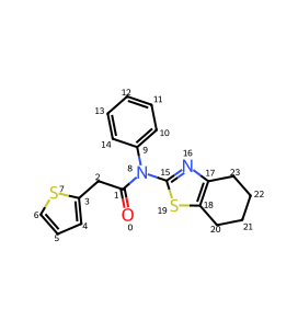 O=C(Cc1cccs1)N(c1ccccc1)c1nc2c(s1)CCCC2